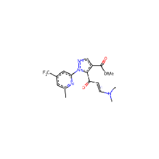 COC(=O)c1cnn(-c2cc(C(F)(F)F)cc(C)n2)c1C(=O)/C=C/N(C)C